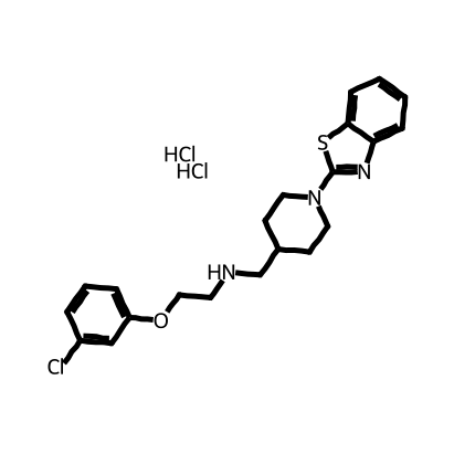 Cl.Cl.Clc1cccc(OCCNCC2CCN(c3nc4ccccc4s3)CC2)c1